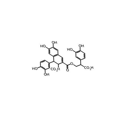 O=C(OCC(C(=O)O)c1ccc(O)c(O)c1)C1=Cc2cc(O)c(O)cc2C(c2ccc(O)c(O)c2)C1C(=O)O